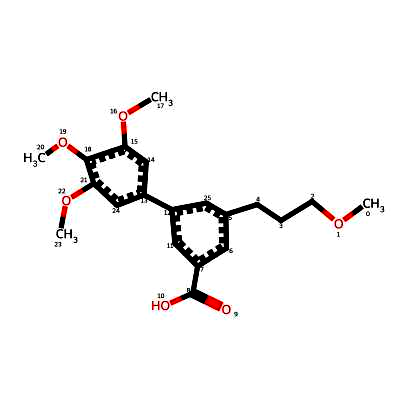 COCCCc1cc(C(=O)O)cc(-c2cc(OC)c(OC)c(OC)c2)c1